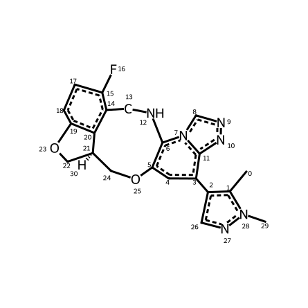 Cc1c(-c2cc3c(n4cnnc24)NCc2c(F)ccc4c2[C@H](CO4)CO3)cnn1C